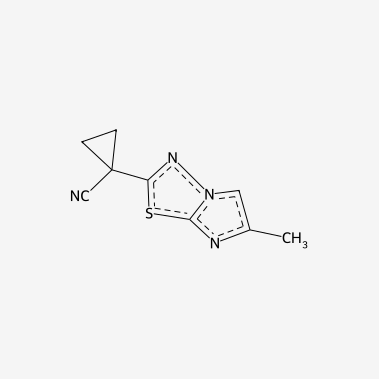 Cc1cn2nc(C3(C#N)CC3)sc2n1